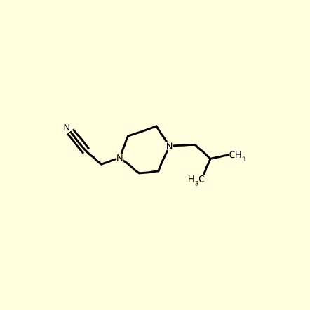 CC(C)CN1CCN(CC#N)CC1